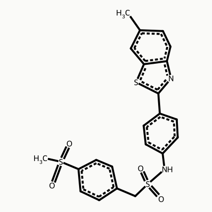 Cc1ccc2nc(-c3ccc(NS(=O)(=O)Cc4ccc(S(C)(=O)=O)cc4)cc3)sc2c1